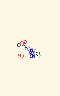 O.O=c1oc2ccccc2cc1CCN1CCC(Nc2nc3cccnc3n2Cc2ccc(F)cc2)CC1